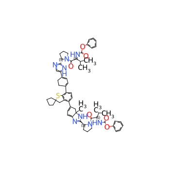 CC(C)[C@H](NC(=O)Oc1ccccc1)C(=O)N1CCC[C@H]1C1=NC2=CC=C(c3ccc(C4=CC=C(c5cnc([C@@H]6CCCN6C(=O)[C@@H](NC(=O)Oc6ccccc6)C(C)C)[nH]5)CC4)c4c3CC3(CCCC3)S4)CC2(C)N1